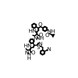 CC1=NNC(=O)C1=C1C=C(C(=O)c2ccc(NC(=O)C3CC3)cc2)c2ccccc2N1.CC1=NNC(=O)C1=C1C=C(c2cnc(Cc3ccccc3C#N)s2)c2ccccc2N1